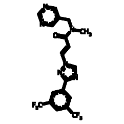 CN(Cc1cncnc1)C(=O)C=Cn1cnc(-c2cc(C(F)(F)F)cc(C(F)(F)F)c2)n1